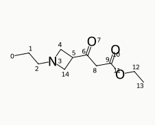 CCCN1CC(C(=O)CC(=O)OCC)C1